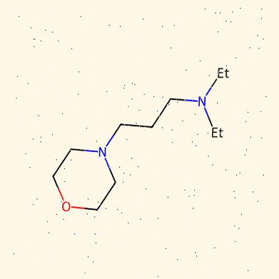 CCN(CC)CCCN1CCOCC1